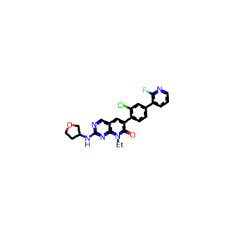 CCn1c(=O)c(-c2ccc(-c3cccnc3F)cc2Cl)cc2cnc(NC3CCOC3)nc21